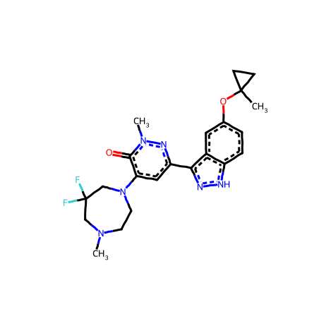 CN1CCN(c2cc(-c3n[nH]c4ccc(OC5(C)CC5)cc34)nn(C)c2=O)CC(F)(F)C1